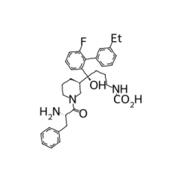 CCc1cccc(-c2c(F)cccc2[C@](O)(CCCNC(=O)O)[C@@H]2CCCN(C(=O)[C@@H](N)Cc3ccccc3)C2)c1